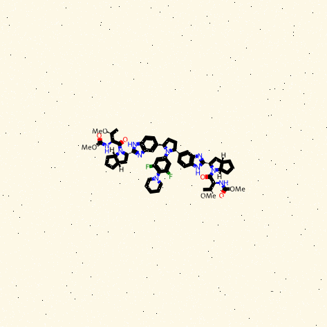 COC(=O)N[C@H](C(=O)N1[C@H](c2nc3cc([C@H]4CC[C@H](c5ccc6[nH]c([C@@H]7C[C@@H]8CCC[C@@H]8N7C(=O)[C@@H](NC(=O)OC)[C@@H](C)OC)nc6c5)N4c4cc(F)c(N5CCCCC5)c(F)c4)ccc3[nH]2)C[C@@H]2CCC[C@@H]21)[C@@H](C)OC